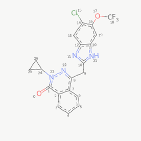 O=c1c2ccccc2c(Cc2nc3cc(Cl)c(OC(F)(F)F)cc3[nH]2)nn1C1CC1